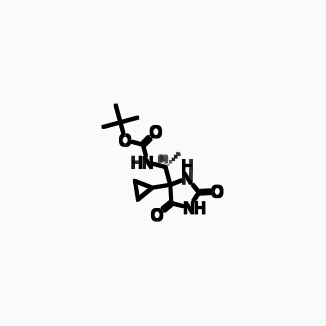 C[C@@H](NC(=O)OC(C)(C)C)C1(C2CC2)NC(=O)NC1=O